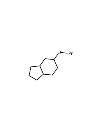 CC(C)OC1CCC2CCCC2C1